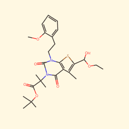 CCOC(O)c1sc2c(c1C)c(=O)n(C(C)(C)C(=O)OC(C)(C)C)c(=O)n2CCc1ccccc1OC